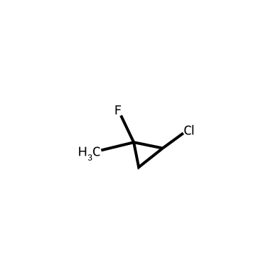 CC1(F)CC1Cl